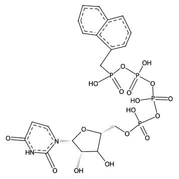 O=c1ccn([C@@H]2O[C@H](COP(=O)(O)OP(=O)(O)OP(=O)(O)OP(=O)(O)Cc3cccc4ccccc34)C(O)[C@@H]2O)c(=O)[nH]1